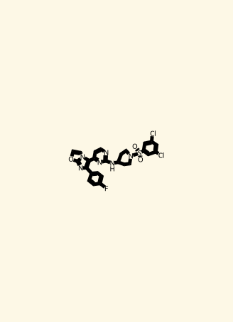 O=S(=O)(c1cc(Cl)cc(Cl)c1)N1CCC(Nc2nccc(-c3c(-c4ccc(F)cc4)nc4occn34)n2)CC1